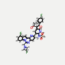 CNC(=O)c1c(-c2ccc(F)cc2)oc2nc(N(C)S(C)(=O)=O)c(-c3ccc4nc(CN5CC(F)C5)n5c6cccc(F)c6cc5c4n3)cc12